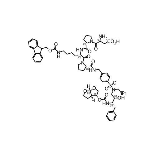 CC(C)CN(C[C@@H](O)[C@H](Cc1ccccc1)NC(=O)O[C@H]1CO[C@H]2OCC[C@H]21)S(=O)(=O)c1ccc(CNC(=O)[C@@H]2CCCN2C(=O)[C@H](CCCCNC(=O)OCC2c3ccccc3-c3ccccc32)NC(=O)[C@@H]2CCCN2C(=O)[C@@H](N)CC(=O)O)cc1